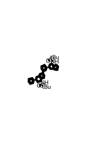 CC(C)(C)[S@@+]([O-])N[C@@H]1C[C@H](c2cccc(-c3ccc4c(c3)C[C@H](c3ccccc3)C[C@H]4N[S@+]([O-])C(C)(C)C)c2)Cc2ccccc21